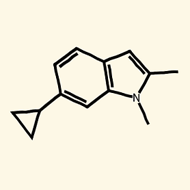 Cc1cc2ccc(C3CC3)cc2n1C